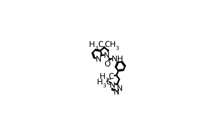 CC(Cc1nncn1C)c1cccc(NC(=O)N2CC(C)(C)c3cccnc32)c1